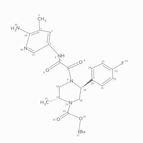 Cc1cc(NC(=O)C(=O)N2C[C@@H](C)N(C(=O)OC(C)(C)C)C[C@@H]2c2ccc(F)cc2)cnc1N